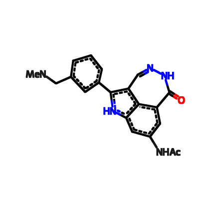 CNCc1cccc(-c2[nH]c3cc(NC(C)=O)cc4c3c2C=NNC4=O)c1